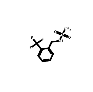 CS(=O)(=O)NCc1ccccc1C(F)(F)F